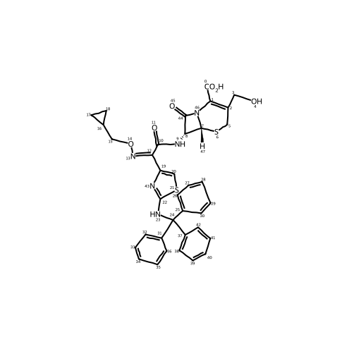 O=C(O)C1=C(CO)CS[C@@H]2[C@H](NC(=O)/C(=N\OCC3CC3)c3csc(NC(c4ccccc4)(c4ccccc4)c4ccccc4)n3)C(=O)N12